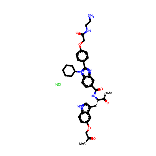 COC(=O)COc1ccc2[nH]cc(C[C@H](NC(=O)c3ccc4c(c3)nc(-c3ccc(OCC(=O)NCCN)cc3)n4C3CCCCC3)C(=O)OC)c2c1.Cl